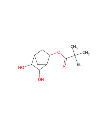 CCC(C)(C)C(=O)OC1CC2CC1C(O)C2O